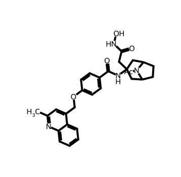 CC(=O)N1C2CCC1CC(CC(=O)NO)(NC(=O)c1ccc(OCc3cc(C)nc4ccccc34)cc1)C2